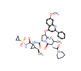 C=CC1C[C@]1(NC(=O)[C@@H]1C[C@@H](Oc2cc(-c3ccccc3)nc3cc(OC)ccc23)CN1C(=O)[C@@H](CC(=O)N1CCCCC1)C(C)C)C(=O)NS(=O)(=O)C1CC1